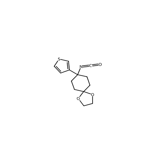 O=C=NC1(c2ccsc2)CCC2(CC1)OCCO2